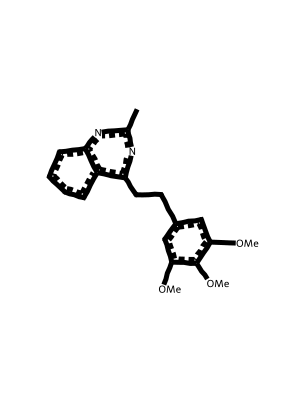 COc1cc(CCc2nc(C)nc3ccccc23)cc(OC)c1OC